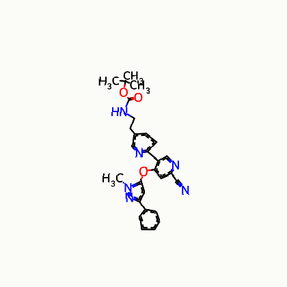 Cn1nc(-c2ccccc2)cc1Oc1cc(C#N)ncc1-c1ccc(CCNC(=O)OC(C)(C)C)cn1